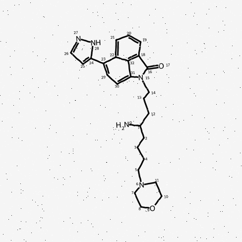 NC(CCCCN1CCOCC1)CCCN1C(=O)c2cccc3c(-c4ccn[nH]4)ccc1c23